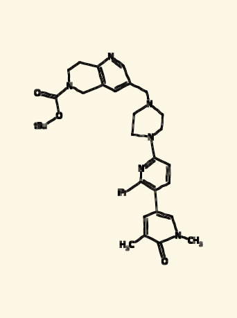 Cc1cc(-c2ccc(N3CCN(Cc4cnc5c(c4)CN(C(=O)OC(C)(C)C)CC5)CC3)nc2C(C)C)cn(C)c1=O